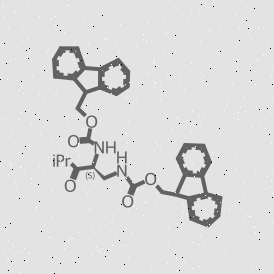 CC(C)C(=O)[C@H](CNC(=O)OCC1c2ccccc2-c2ccccc21)NC(=O)OCC1c2ccccc2-c2ccccc21